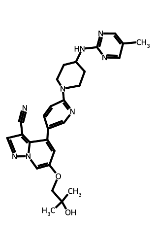 Cc1cnc(NC2CCN(c3ccc(-c4cc(OCC(C)(C)O)cn5ncc(C#N)c45)cn3)CC2)nc1